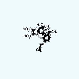 CC(ON1C(C)(C)CC2(CC1(C)C)OC(C(=O)O)C(C(=O)O)O2)c1ccc(OCC2CO2)cc1